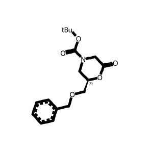 CC(C)(C)OC(=O)N1CC(=O)O[C@@H](COCc2ccccc2)C1